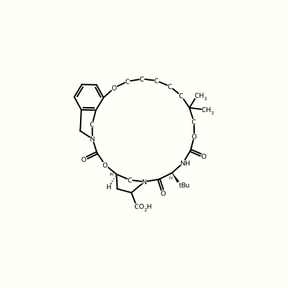 CC1(C)CCCCCOc2cccc3c2CN(C3)C(=O)O[C@@H]2CC(C(=O)O)N(C2)C(=O)[C@H](C(C)(C)C)NC(=O)OC1